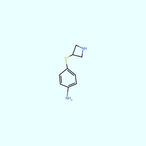 Nc1ccc(SC2CNC2)cc1